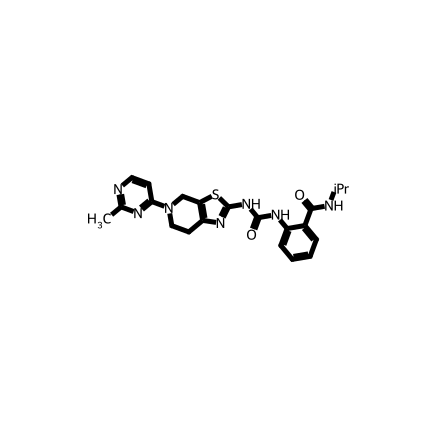 Cc1nccc(N2CCc3nc(NC(=O)Nc4ccccc4C(=O)NC(C)C)sc3C2)n1